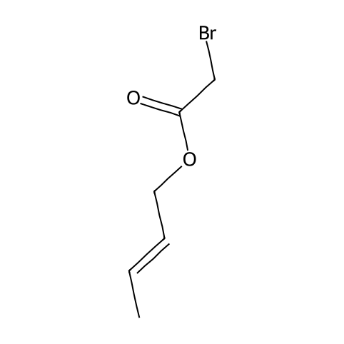 CC=CCOC(=O)CBr